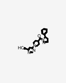 C#Cc1cc(N2CCC(C(=O)N3N=CCC3c3ccccc3)CC2)ncn1